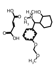 COCOc1cccc(C(C2CCCCC2O)N(C)C)c1.O=C(O)C=CC(=O)O